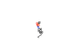 Cc1ccc(S(=O)(=O)OC2CN(C3CC[C@@]4(C)[C@@H](CC[C@@H]5[C@@H]4CC[C@]4(C)[C@@H]([C@H](C)CCCC(C)C)CC[C@@H]54)C3)C2)cc1